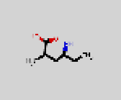 [CH2]CC(=N)CC(C)C(=O)O